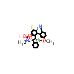 COc1ccc(C#N)c(-c2c(Cl)c(F)cc3c2[C@H](C)[C@@](CN(C)C(=O)O)(c2ccccc2)O3)c1F